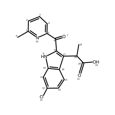 Cc1cccc(C(=O)c2[nH]c3cc(Cl)ccc3c2C(C)C(=O)O)n1